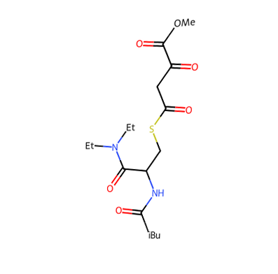 CCC(C)C(=O)NC(CSC(=O)CC(=O)C(=O)OC)C(=O)N(CC)CC